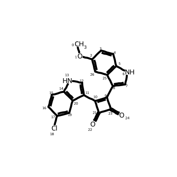 COc1ccc2[nH]cc(-c3c(-c4c[nH]c5ccc(Cl)cc45)c(=O)c3=O)c2c1